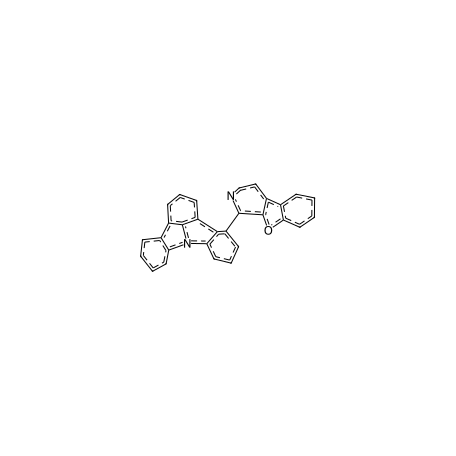 c1ccc2c(c1)oc1c(-c3cccc4c3c3cccc5c6ccccc6n4c53)nccc12